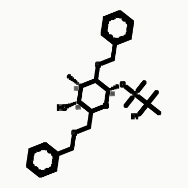 CC(C)C(C)(C)[Si](C)(C)O[C@@H]1OC(COCc2ccccc2)[C@H](O)[C@H](C)C1OCc1ccccc1